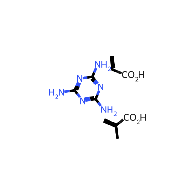 C=C(C)C(=O)O.C=CC(=O)O.Nc1nc(N)nc(N)n1